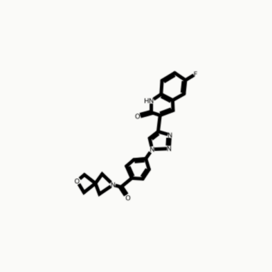 O=C(c1ccc(-n2cc(-c3cc4cc(F)ccc4[nH]c3=O)nn2)cc1)N1CC2(COC2)C1